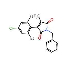 CCc1cc(Cl)cc(CC)c1C1=C(C(F)(F)F)C(=O)N(Cc2ccccc2)C1=O